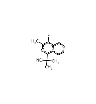 Cc1nc(C(C)(C)C#N)c2ccccc2c1F